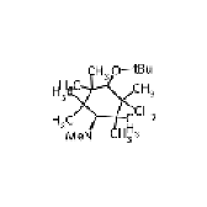 CN[C@H]1C(C)(C)C(C)(C)[C@@H](OC(C)(C)C)C(C)(C)C1(C)C